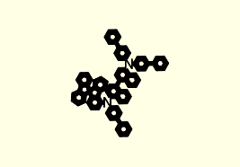 c1ccc(-c2ccc(N(c3ccc(-c4ccccc4)cc3)c3ccc(-c4ccc(N(c5ccc(-c6ccccc6)cc5)c5cccc6c5-c5ccccc5C65c6ccccc6-c6ccccc65)c5ccccc45)c4ccccc34)cc2)cc1